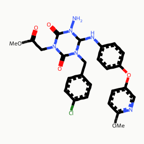 COC(=O)CN1C(=O)N(N)C(Nc2ccc(Oc3ccc(OC)nc3)cc2)N(Cc2ccc(Cl)cc2)C1=O